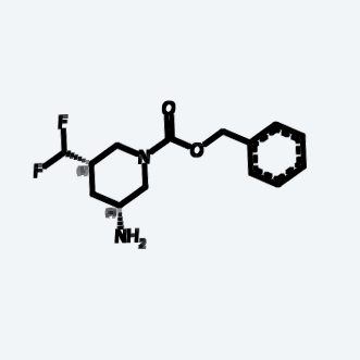 N[C@@H]1C[C@H](C(F)F)CN(C(=O)OCc2ccccc2)C1